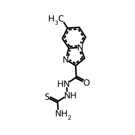 Cc1ccn2cc(C(=O)NNC(N)=S)nc2c1